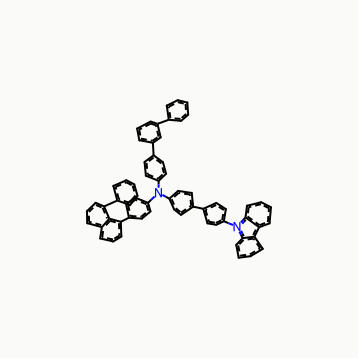 c1ccc(-c2cccc(-c3ccc(N(c4ccc(-c5ccc(-n6c7ccccc7c7ccccc76)cc5)cc4)c4ccc(-c5cccc6cccc(-c7ccccc7)c56)cc4)cc3)c2)cc1